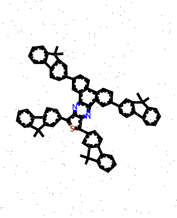 CC1(C)c2ccccc2-c2ccc(-c3ccc4c5ccc(-c6ccc7c(c6)C(C)(C)c6ccccc6-7)cc5c5nc6c(-c7ccc8c(c7)C(C)(C)c7ccccc7-8)sc(-c7ccc8c(c7)C(C)(C)c7ccccc7-8)c6nc5c4c3)cc21